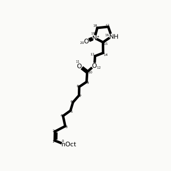 CCCCCCCC/C=C\CCCCCCCC(=O)OCCC1NCC[N+]1=O